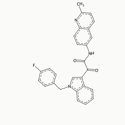 Cc1ccc2cc(NC(=O)C(=O)c3cn(Cc4ccc(F)cc4)c4ccccc34)ccc2n1